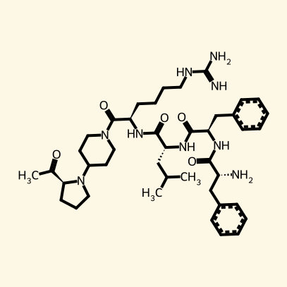 CC(=O)[C@@H]1CCCN1C1CCN(C(=O)[C@@H](CCCCNC(=N)N)NC(=O)[C@@H](CC(C)C)NC(=O)[C@@H](Cc2ccccc2)NC(=O)[C@H](N)Cc2ccccc2)CC1